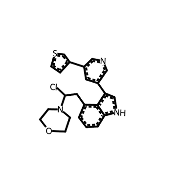 ClC(Cc1cccc2[nH]cc(-c3cncc(-c4ccsc4)c3)c12)N1CCOCC1